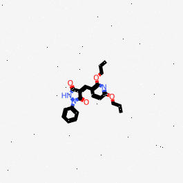 CCCOc1ccc(C=C2C(=O)NN(c3ccccc3)C2=O)c(OCCC)n1